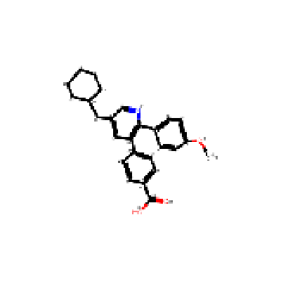 COc1ccc(-c2ncc(CC3CCCCC3)cc2-c2ccc(C(=O)O)cc2)cc1